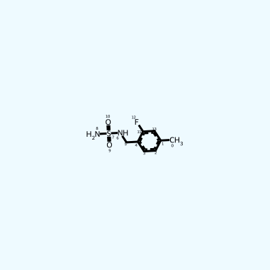 Cc1ccc(CNS(N)(=O)=O)c(F)c1